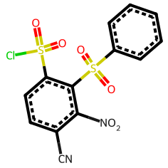 N#Cc1ccc(S(=O)(=O)Cl)c(S(=O)(=O)c2ccccc2)c1[N+](=O)[O-]